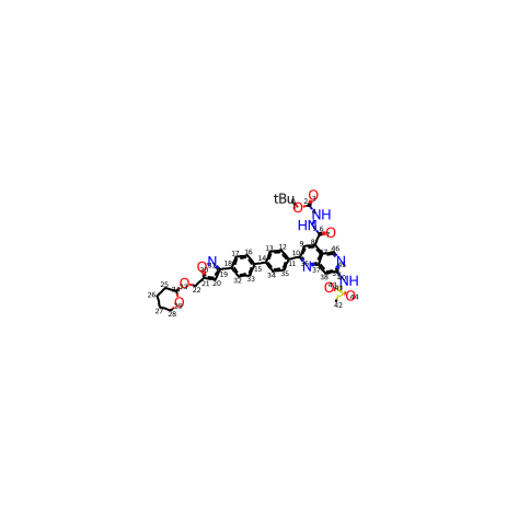 CC(C)(C)OC(=O)NNC(=O)c1cc(-c2ccc(-c3ccc(-c4cc(COC5CCCCO5)on4)cc3)cc2)nc2cc(NS(C)(=O)=O)ncc12